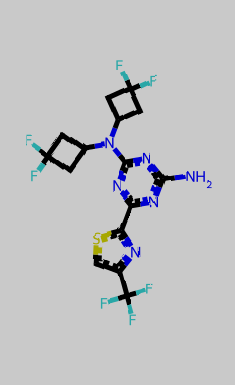 Nc1nc(-c2nc(C(F)(F)F)cs2)nc(N(C2CC(F)(F)C2)C2CC(F)(F)C2)n1